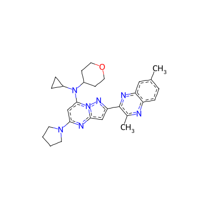 Cc1ccc2nc(C)c(-c3cc4nc(N5CCCC5)cc(N(C5CCOCC5)C5CC5)n4n3)nc2c1